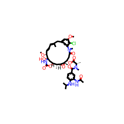 COc1cc2cc(c1Cl)N(C)C(=O)C[C@H](OC(=O)[C@H](C)N(C)C(=O)c1ccc(NC(C)C)c(NC(C)=O)c1)[C@]1(C)O[C@H]1[C@H](C)[C@@H]1C[C@@](O)(NC(=O)O1)[C@H](OC)/C=C/C=C(\C)C2